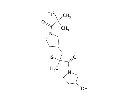 CC(C)(C)C(=O)N1CCC(CC(C)(S)C(=O)N2CCC(O)C2)C1